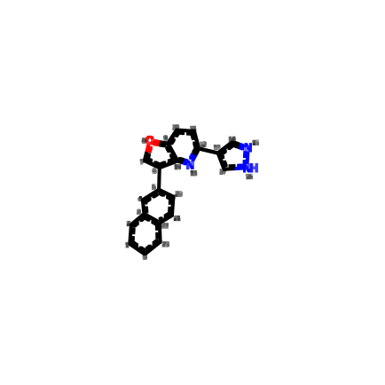 c1ccc2cc(-c3coc4ccc(-c5cn[nH]c5)nc34)ccc2c1